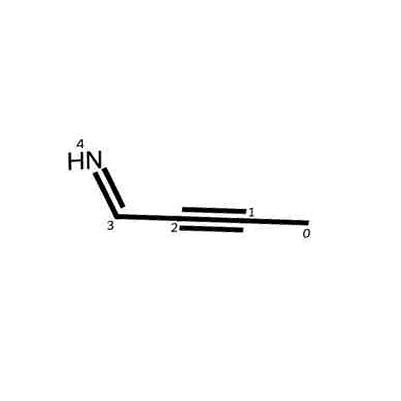 CC#CC=N